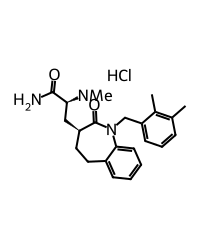 CN[C@@H](C[C@@H]1CCc2ccccc2N(Cc2cccc(C)c2C)C1=O)C(N)=O.Cl